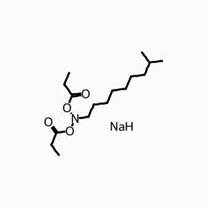 CCC(=O)ON(CCCCCCCC(C)C)OC(=O)CC.[NaH]